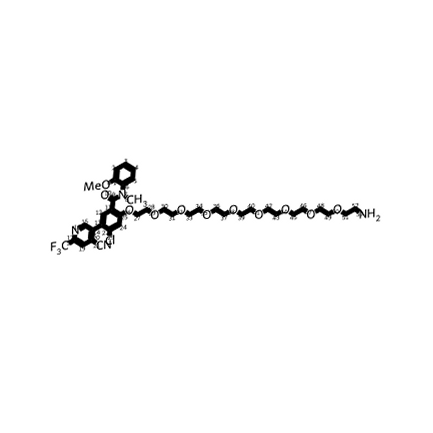 COc1ccccc1N(C)C(=O)c1cc(-c2cnc(C(F)(F)F)cc2C#N)c(Cl)cc1OCCOCCOCCOCCOCCOCCOCCOCCOCCN